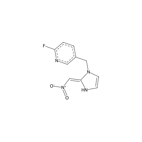 O=[N+]([O-])C=C1NC=CN1Cc1ccc(F)nc1